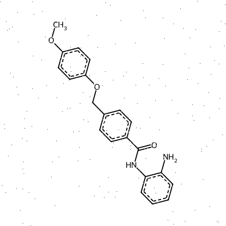 COc1ccc(OCc2ccc(C(=O)Nc3ccccc3N)cc2)cc1